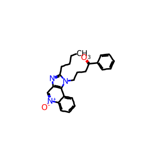 CCCCc1nc2c[n+]([O-])c3ccccc3c2n1CCCC(=O)c1ccccc1